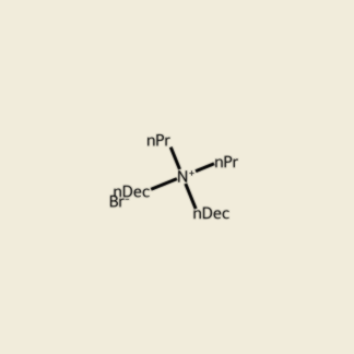 CCCCCCCCCC[N+](CCC)(CCC)CCCCCCCCCC.[Br-]